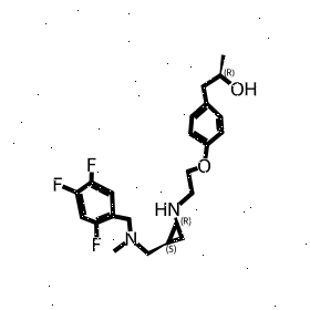 C[C@@H](O)Cc1ccc(OCCN[C@@H]2C[C@H]2CN(C)Cc2cc(F)c(F)cc2F)cc1